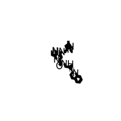 Cc1cc(CNc2cc(C(=O)NCC3C[C@@H]3c3ccc4ccccc4n3)nc3ccnn23)n(C)n1